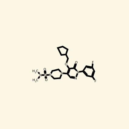 CN(C)S(=O)(=O)N1CCN(c2cnn(-c3cc(F)cc(F)c3)c(=O)c2OCC2CCCC2)CC1